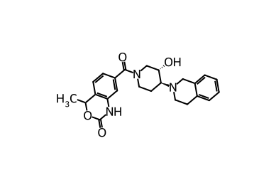 CC1OC(=O)Nc2cc(C(=O)N3CC[C@H](N4CCc5ccccc5C4)[C@@H](O)C3)ccc21